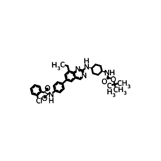 CCc1cc(-c2ccc(NS(=O)(=O)c3ccccc3Cl)cc2)cc2cnc(N[C@H]3CC[C@H](NC(=O)OC(C)(C)C)CC3)nc12